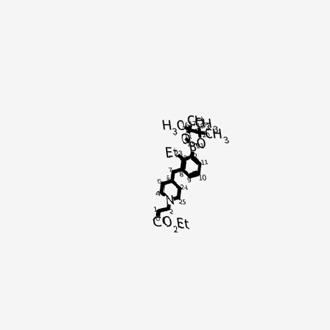 CCOC(=O)CCN1CCC(Cc2cccc(B3OC(C)(C)C(C)(C)O3)c2CC)CC1